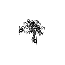 CC(C)C(=O)OC[C@@]1(O[C@H]2O[C@H](COCCOc3c(I)cc(I)cc3I)[C@@H](OC(=O)C(C)C)[C@H](OC(=O)C(C)C)[C@H]2OC(=O)C(C)C)O[C@H](COCCOc2c(I)cc(I)cc2I)[C@@H](OC(=O)C(C)C)[C@@H]1OC(=O)C(C)C